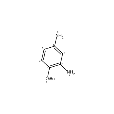 CC(C)COc1ccc(N)cc1N